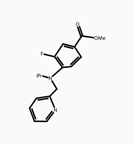 COC(=O)c1ccc(N(Cc2ccccn2)C(C)C)c(F)c1